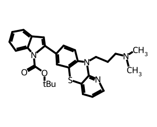 CN(C)CCCN1c2ccc(-c3cc4ccccc4n3C(=O)OC(C)(C)C)cc2Sc2cccnc21